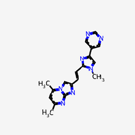 Cc1cc(C)n2cc(/C=C/c3nc(-c4cncnc4)cn3C)nc2n1